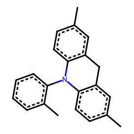 Cc1ccc2c(c1)Cc1cc(C)ccc1N2c1ccccc1C